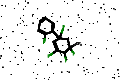 FC1=CC(F)(c2ccccc2F)[CH]C(F)(C(F)(F)F)C1F